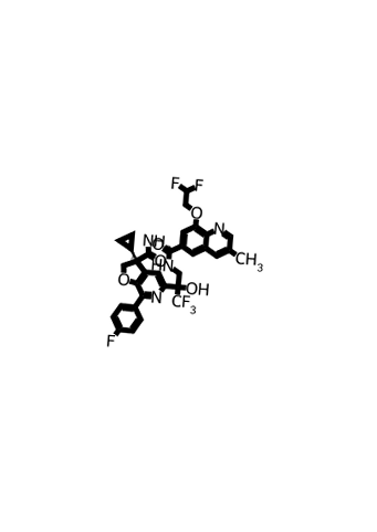 Cc1cnc2c(OCC(F)F)cc(C(=O)NCC(O)(c3cc4c(c(-c5ccc(F)cc5)n3)OC[C@@]4(C(N)=O)C3CC3)C(F)(F)F)cc2c1